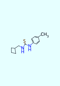 Cc1ccc(NC(=S)NCC2CCC2)cc1